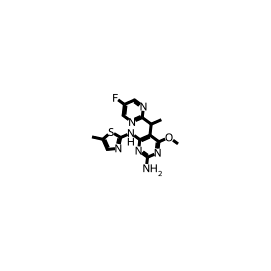 COc1nc(N)nc(Nc2ncc(C)s2)c1C(C)c1ncc(F)cn1